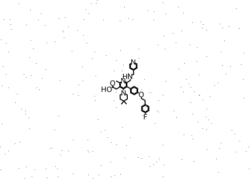 Cc1nc(CNCc2ccncc2)c(-c2ccc(OCCc3ccc(F)cc3)cc2)c(N2CCC(C)(C)CC2)c1CC(=O)O